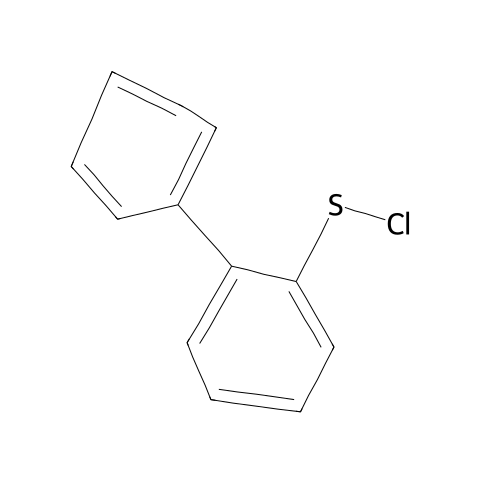 ClSc1ccccc1-c1ccccc1